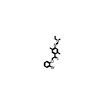 CCN(C)C=Nc1cc(C)c(C(=S)COc2ccccc2Br)cc1C